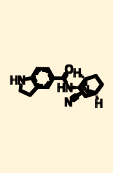 N#CN1[C@H]2CC[C@@H]1[C@H](NC(=O)c1ccc3c(c1)CCN3)C2